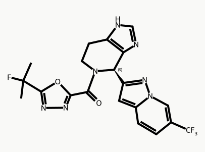 CC(C)(F)c1nnc(C(=O)N2CCc3[nH]cnc3[C@H]2c2cc3ccc(C(F)(F)F)cn3n2)o1